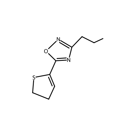 CCCc1noc(C2=CCCS2)n1